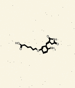 Nc1ccc(OCCCCCC(=O)O)cc1C=C1CC(=O)NC1=O